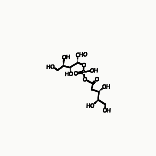 O=C[C@H](OP(=O)(O)OC(=O)C[C@H](O)[C@H](O)CO)[C@H](O)[C@H](O)CO